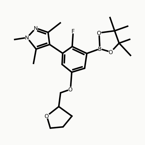 Cc1nn(C)c(C)c1-c1cc(OCC2CCCO2)cc(B2OC(C)(C)C(C)(C)O2)c1F